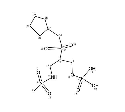 CS(=O)(=O)NCC(COP(=O)(O)O)S(=O)(=O)CC1CCCC1